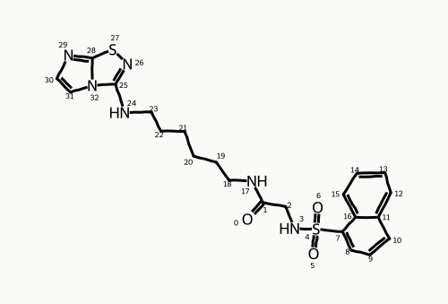 O=C(CNS(=O)(=O)c1cccc2ccccc12)NCCCCCCNc1nsc2nccn12